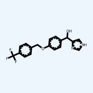 OC(c1ccc(OCc2ccc(C(F)(F)F)cc2)cc1)c1c[nH]cn1